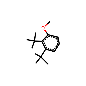 COc1cccc(C(C)(C)C)c1C(C)(C)C